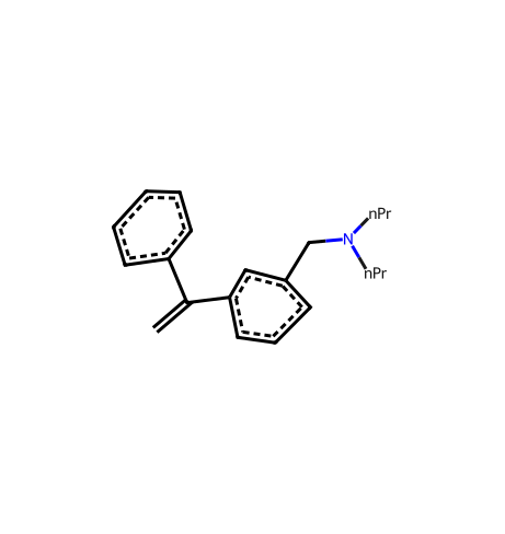 C=C(c1ccccc1)c1cccc(CN(CCC)CCC)c1